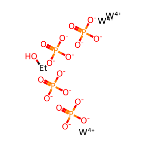 CCO.O=P([O-])([O-])[O-].O=P([O-])([O-])[O-].O=P([O-])([O-])[O-].O=P([O-])([O-])[O-].[W+4].[W+4].[W+4]